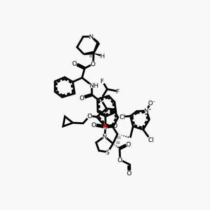 O=COC(=O)[C@]1([C@@H](Cc2c(Cl)c[n+]([O-])cc2Cl)c2ccc(OC(F)F)c(OCC3CC3)c2)SCCN1S(=O)(=O)c1cccc(C(=O)NC(C(=O)O[C@H]2CN3CCC2CC3)c2ccccc2)c1